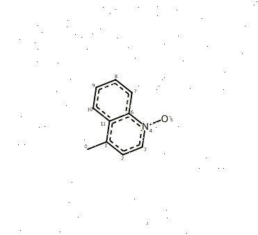 Cc1cc[n+]([O-])c2ccccc12